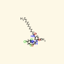 CCCCCCCCCCCCCC(=O)Nc1ccc(OC)c(Nc2cc(=O)n(-c3c(Cl)cc(Cl)cc3Cl)[nH]2)c1